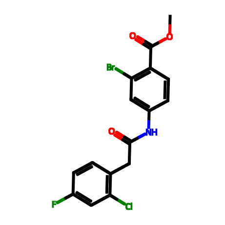 COC(=O)c1ccc(NC(=O)Cc2ccc(F)cc2Cl)cc1Br